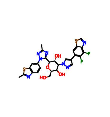 Cc1nc(C2O[C@H](CO)[C@H](O)[C@H](n3cc(-c4cc5scnc5c(F)c4F)cn3)[C@H]2O)n(-c2ccc3nc(C)sc3c2)n1